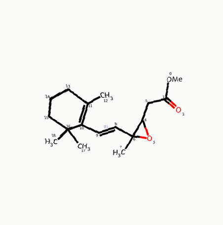 COC(=O)CC1OC1(C)/C=C/C1=C(C)CCCC1(C)C